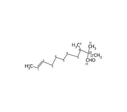 CC=CCCCCCC(C)C(C)(C)C=O